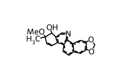 COC1(C)C=Cc2c(cnc3c2ccc2cc4c(cc23)OCO4)C1O